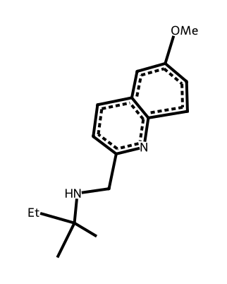 CCC(C)(C)NCc1ccc2cc(OC)ccc2n1